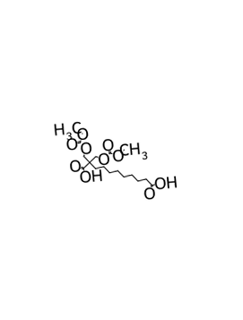 COC(=O)OCC(CCCCCCCCC(=O)O)(COC(=O)OC)C(=O)O